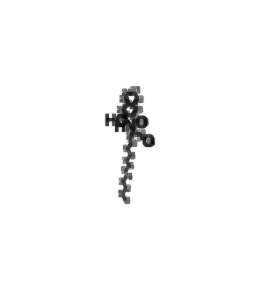 CCCCCCCCCCCCC(CC=O)NC(=O)c1cc2ccccc2cc1O